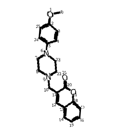 COc1ccc(N2CCN(Cc3cc4ccccc4oc3=O)CC2)cc1